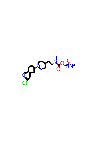 CNC(=O)COC(=O)NCCC1CCN(c2ccc3cnc(Cl)cc3c2)CC1